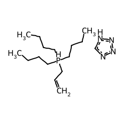 C=CC[PH](CCCC)(CCCC)CCCC.c1nnn[nH]1